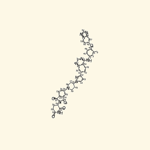 Cc1cc(Nc2ncnc3cc(-c4ccn(C5CCN(c6ccc7c(c6)C(=O)N(C6CCC(=O)NC6=O)C7=O)CC5)n4)ccc23)ccc1Oc1ccn2ncnc2c1